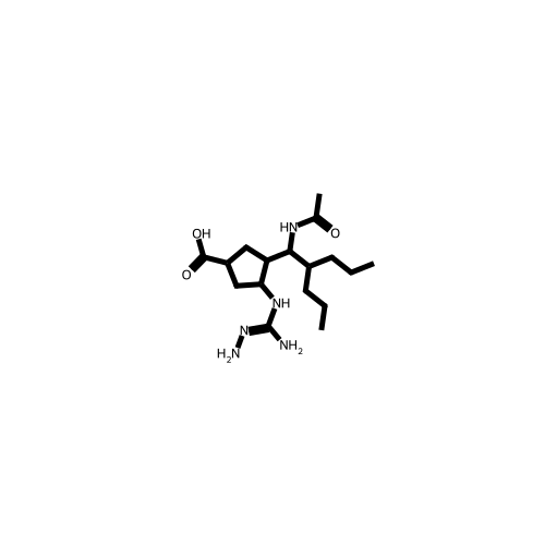 CCCC(CCC)C(NC(C)=O)C1CC(C(=O)O)CC1NC(N)=NN